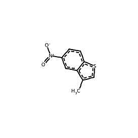 Cc1csc2ccc([N+](=O)[O-])cc12